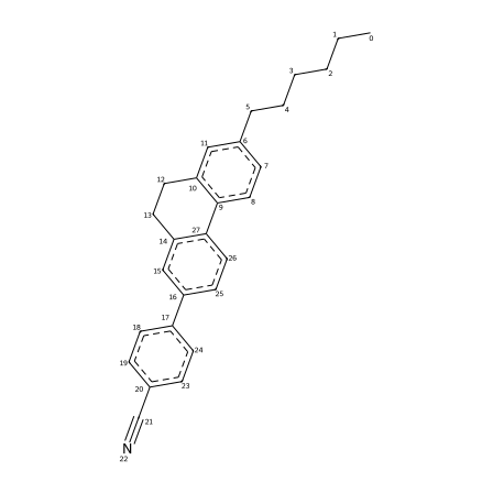 CCCCCCc1ccc2c(c1)CCc1cc(-c3ccc(C#N)cc3)ccc1-2